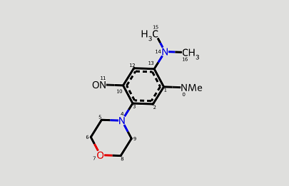 CNc1cc(N2CCOCC2)c(N=O)cc1N(C)C